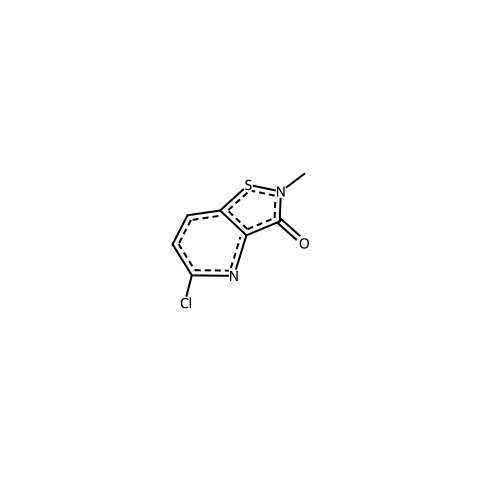 Cn1sc2ccc(Cl)nc2c1=O